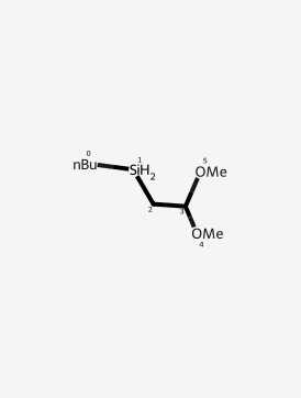 CCCC[SiH2]CC(OC)OC